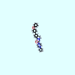 O=C(CN1CCc2cc(-c3ccc(Oc4ccccc4)cc3)ccc2C1)N1CCN(C2CCCC2)CC1